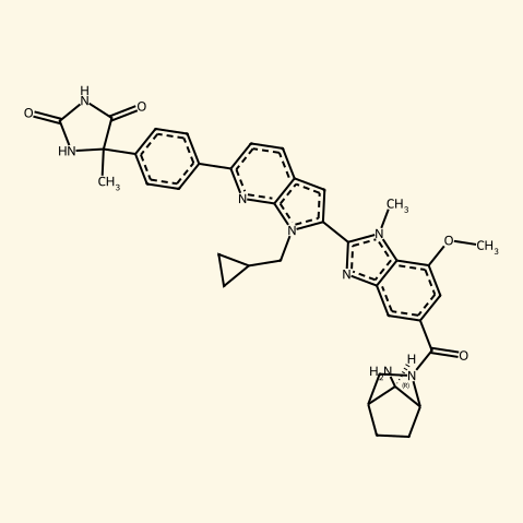 COc1cc(C(=O)N2CC3CCC2[C@@H]3N)cc2nc(-c3cc4ccc(-c5ccc(C6(C)NC(=O)NC6=O)cc5)nc4n3CC3CC3)n(C)c12